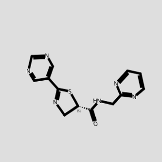 O=C(NCc1ncccn1)[C@@H]1CN=C(c2cncnc2)S1